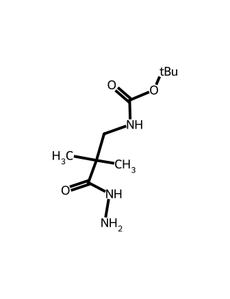 CC(C)(C)OC(=O)NCC(C)(C)C(=O)NN